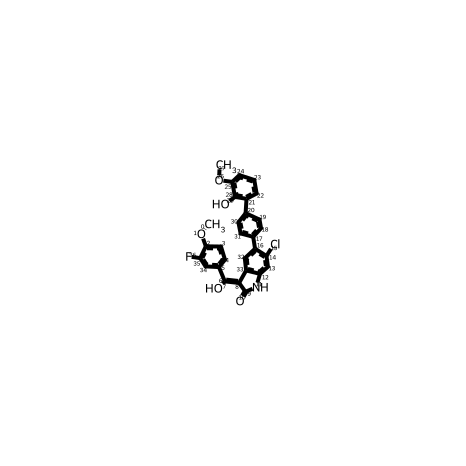 COc1ccc(/C(O)=C2/C(=O)Nc3cc(Cl)c(-c4ccc(-c5cccc(OC)c5O)cc4)cc32)cc1F